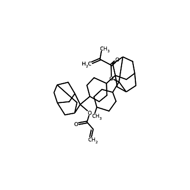 C=CC(=O)OC1(C2CCC(C34CC5CC(C3)C(OC(=O)C(=C)C)(C3CCC(C)CC3)C(C5)C4)CC2)C2CC3CC(C2)CC1C3